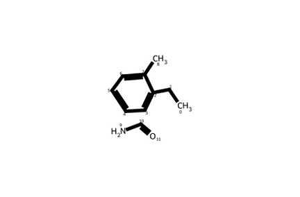 CCc1ccccc1C.NC=O